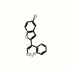 O=C(O)/C=C(\c1ccccc1)c1cc2cc(Cl)ccc2o1